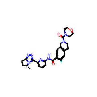 C[C@H]1CCc2nnc(-c3cccc(NC(=O)c4cc5c(cc4F)CCN(C(=O)N4CCOCC4)C5)n3)n21